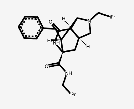 CC(C)CNC(=O)[C@]12C[C@@H]3CN(CC(C)C)C([C@H]1Cc1ccccc1)[C@@H]3C(=O)N2